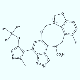 CC(C)[Si](Oc1cnn(C)c1-c1cc2c(n3cnnc13)N(C(=O)O)Cc1c(F)ccc3c1[C@@H](CO3)CO2)(C(C)C)C(C)C